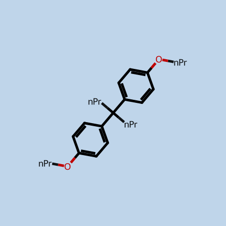 CCCOc1ccc(C(CCC)(CCC)c2ccc(OCCC)cc2)cc1